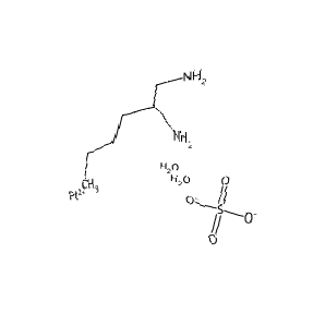 CCCCC(N)CN.O.O.O=S(=O)([O-])[O-].[Pt+2]